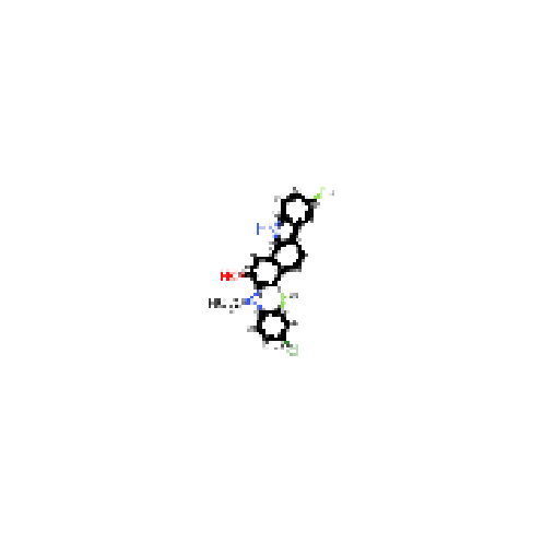 O=C(O)N(c1cc2ccc3c4cc(F)ccc4[nH]c3c2cc1O)c1ccc(Cl)cc1F